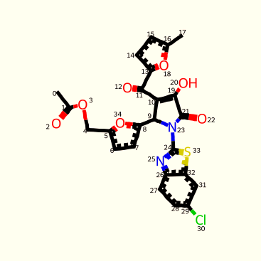 CC(=O)OCc1ccc(C2C(C(=O)c3ccc(C)o3)=C(O)C(=O)N2c2nc3ccc(Cl)cc3s2)o1